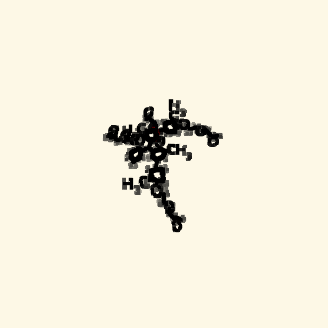 Cc1cc(-c2cc(C)c(OCCOCC3CO3)c(C(c3ccccc3)c3cc(-c4ccc(OCCOCC5CO5)c(C)c4)cc(C)c3OCCOCC3CO3)c2)ccc1OCCOCC1CO1